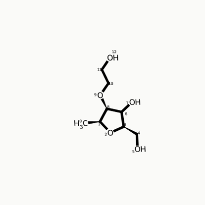 C[C@@H]1O[C@H](CO)C(O)[C@@H]1OCCO